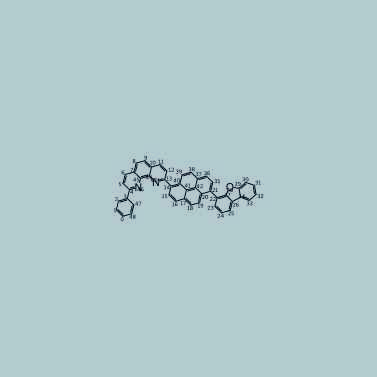 c1ccc(-c2ccc3ccc4ccc(-c5ccc6ccc7c(-c8cccc9c8oc8ccccc89)ccc8ccc5c6c87)nc4c3n2)cc1